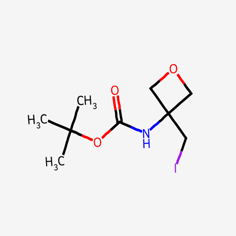 CC(C)(C)OC(=O)NC1(CI)COC1